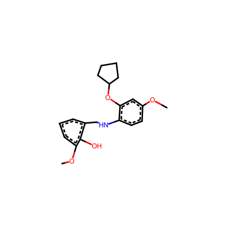 COc1ccc(NCc2cccc(OC)c2O)c(OC2CCCC2)c1